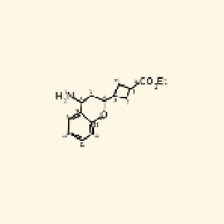 CCOC(=O)C1CC(C2CC(N)c3ccccc3O2)C1